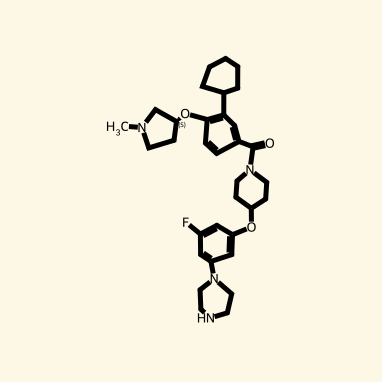 CN1CC[C@H](Oc2ccc(C(=O)N3CCC(Oc4cc(F)cc(N5CCNCC5)c4)CC3)cc2C2CCCCC2)C1